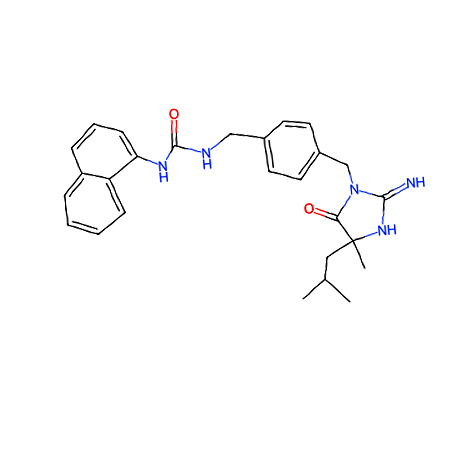 CC(C)CC1(C)NC(=N)N(Cc2ccc(CNC(=O)Nc3cccc4ccccc34)cc2)C1=O